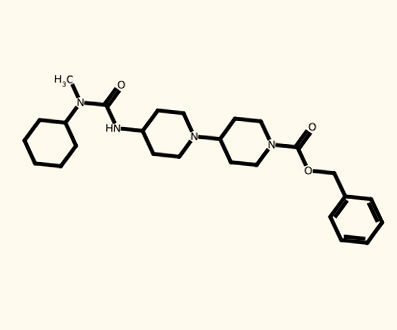 CN(C(=O)NC1CCN(C2CCN(C(=O)OCc3ccccc3)CC2)CC1)C1CCCCC1